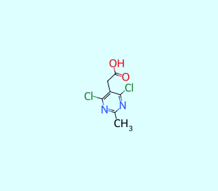 Cc1nc(Cl)c(CC(=O)O)c(Cl)n1